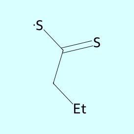 CCCC([S])=S